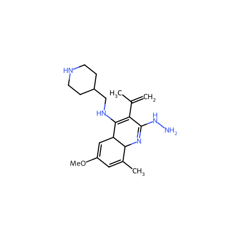 C=C(C)C1=C(NCC2CCNCC2)C2C=C(OC)C=C(C)C2N=C1NN